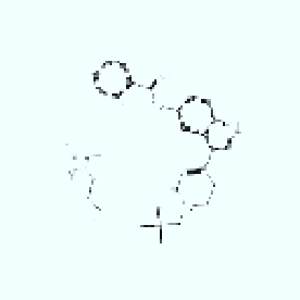 CC(C)(C)CN1CC=C(c2c[nH]c3ccc(NC(=O)c4ccccc4)cc23)CC1.CCCS(=O)(=O)O